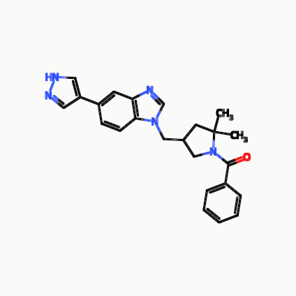 CC1(C)CC(Cn2cnc3cc(-c4cn[nH]c4)ccc32)CN1C(=O)c1ccccc1